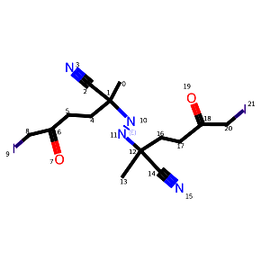 CC(C#N)(CCC(=O)CI)/N=N/C(C)(C#N)CCC(=O)CI